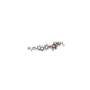 CCCC1CCC2CC(C3CCC(COC4=C(F)C(F)=C(OCC)C(C)C4)CC3)CCC2C1